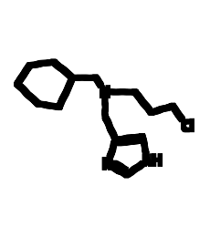 ClCCCN(Cc1c[nH]cn1)CC1CCCCC1